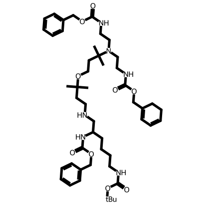 CC(C)(C)OC(=O)NCCCCC(CNCCC(C)(C)OCCC(C)(C)N(CCNC(=O)OCC1=CC=CCC1)CCNC(=O)OCc1ccccc1)NC(=O)OCc1ccccc1